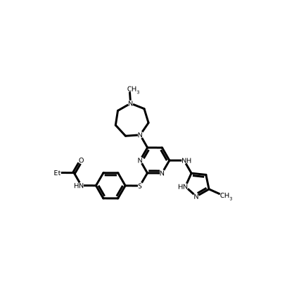 CCC(=O)Nc1ccc(Sc2nc(Nc3cc(C)n[nH]3)cc(N3CCCN(C)CC3)n2)cc1